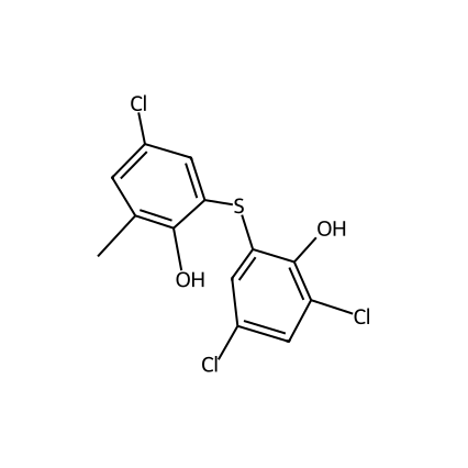 Cc1cc(Cl)cc(Sc2cc(Cl)cc(Cl)c2O)c1O